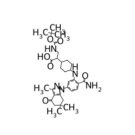 Cc1nn(-c2ccc(C(N)=O)c(NC3CCC(C(CNC(=O)OC(C)(C)C)C(=O)O)CC3)c2)c2c1C(=O)CC(C)(C)C2